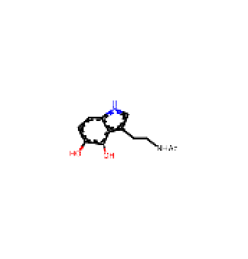 CC(=O)NCCc1c[nH]c2ccc(O)c(O)c12